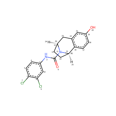 O=C(Nc1ccc(Cl)c(Cl)c1)N1[C@H]2CC[C@@H]1c1ccc(O)cc1C2